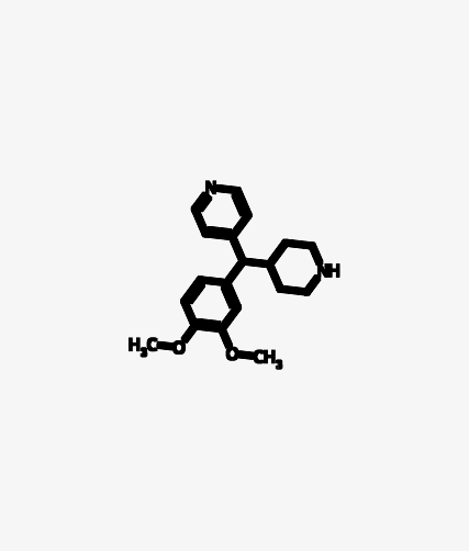 COc1ccc(C(c2ccncc2)C2CCNCC2)cc1OC